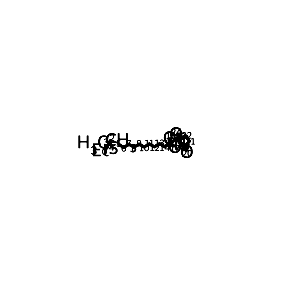 CCC(C)(C)SCCCCCCCCCCC(=O)ON1C(=O)CCC1=O